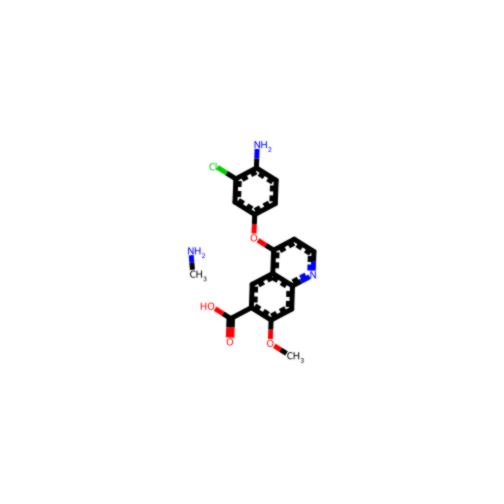 CN.COc1cc2nccc(Oc3ccc(N)c(Cl)c3)c2cc1C(=O)O